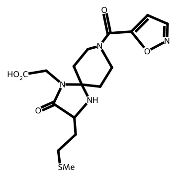 CSCCC1NC2(CCN(C(=O)c3ccno3)CC2)N(CC(=O)O)C1=O